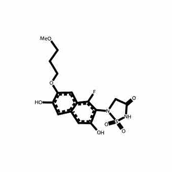 COCCCOc1cc2c(F)c(N3CC(=O)NS3(=O)=O)c(O)cc2cc1O